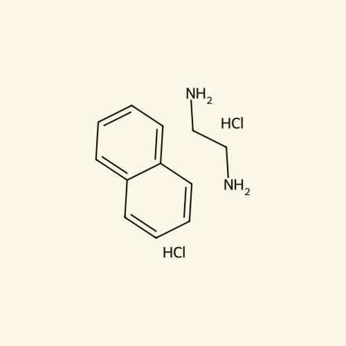 Cl.Cl.NCCN.c1ccc2ccccc2c1